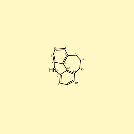 c1cc2c3c(c1)[nH]c1cccc(c13)CCC2